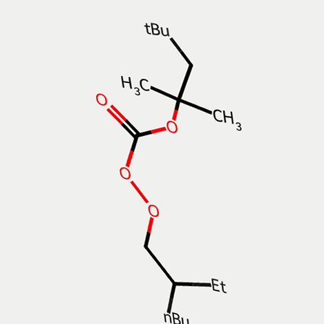 CCCCC(CC)COOC(=O)OC(C)(C)CC(C)(C)C